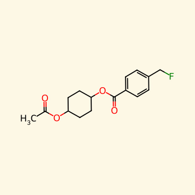 CC(=O)OC1CCC(OC(=O)c2ccc(CF)cc2)CC1